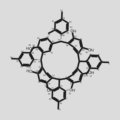 Cc1ccc(C2c3cc(c(O)cc3O)C(c3ccc(C)cc3C)c3cc(c(O)cc3O)[C@H](c3ccc(C)cc3C)c3cc(ccc3O)[C@H](c3ccc(C)cc3C)c3cc2c(O)cc3O)c(C)c1